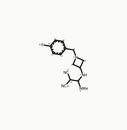 CNC(NC1CN(Cc2ccc(F)cc2)C1)C(C#N)C#N